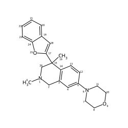 CN1Cc2cc(N3CCOCC3)ccc2C(C)(c2cc3ccccc3o2)C1